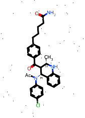 CC(=O)N(c1ccc(Cl)cc1)[C@H]1c2ccccc2N[C@@H](C)C1C(=O)c1ccc(CCCCC(N)=O)cc1